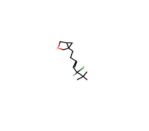 CC(C)(C)C(F)(F)/C=C/CCC12COCC1C2